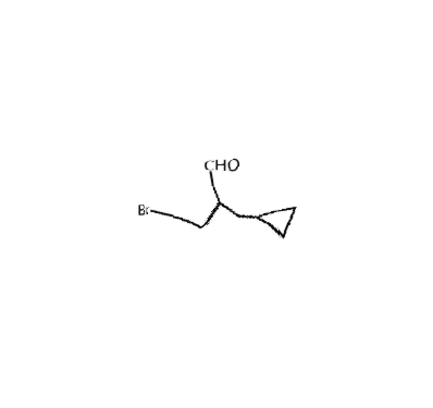 O=CC(CBr)C1CC1